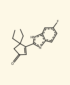 CCC1(CC)CC(=O)C=C1c1nc2ccc(F)cc2[nH]1